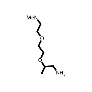 CNCCOCCOC(C)CN